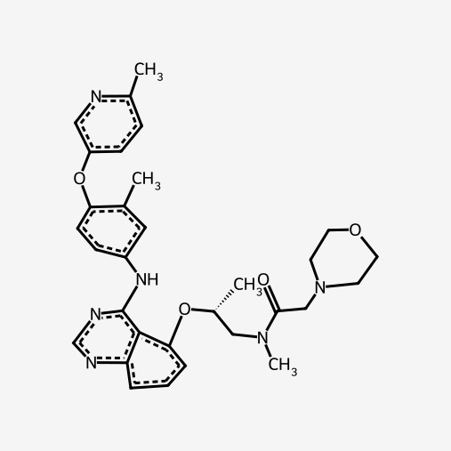 Cc1ccc(Oc2ccc(Nc3ncnc4cccc(O[C@H](C)CN(C)C(=O)CN5CCOCC5)c34)cc2C)cn1